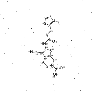 Cc1ccsc1C=CC(=O)Nc1sc2c(c1C#N)CCN(C(=O)O)C2